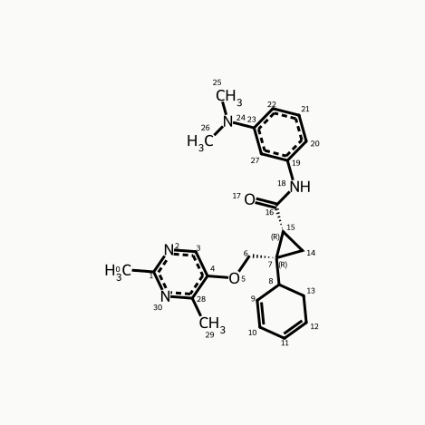 Cc1ncc(OC[C@@]2(C3C=CC=CC3)C[C@H]2C(=O)Nc2cccc(N(C)C)c2)c(C)n1